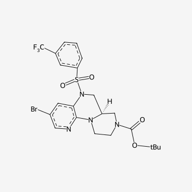 CC(C)(C)OC(=O)N1CCN2c3ncc(Br)cc3N(S(=O)(=O)c3cccc(C(F)(F)F)c3)C[C@H]2C1